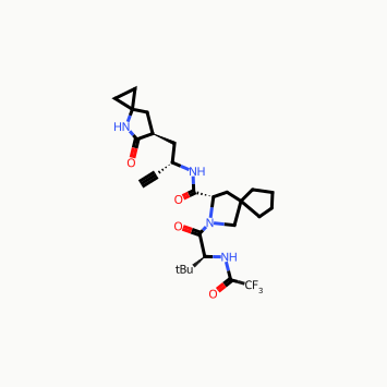 C#C[C@H](C[C@@H]1CC2(CC2)NC1=O)NC(=O)[C@@H]1CC2(CCCC2)CN1C(=O)[C@@H](NC(=O)C(F)(F)F)C(C)(C)C